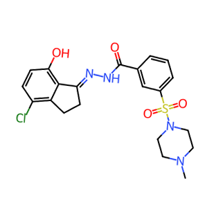 CN1CCN(S(=O)(=O)c2cccc(C(=O)N/N=C3\CCc4c(Cl)ccc(O)c43)c2)CC1